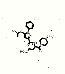 CCOC(=O)N1CCN(C(=O)C(CCC(=O)O)NC(=O)c2cc(O[C@@H](C)C(C)=O)n(-c3ccccc3)n2)CC1